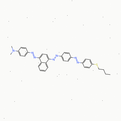 CCCCSc1ccc(N=Nc2ccc(N=Nc3ccc(N=Nc4ccc(N(C)C)cc4)c4ccccc34)cc2)cc1